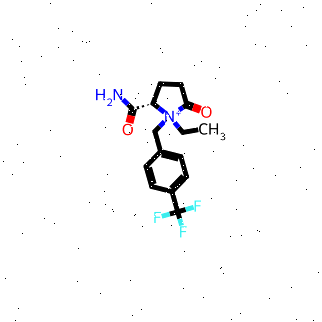 CC[N+]1(Cc2ccc(C(F)(F)F)cc2)C(=O)CC[C@H]1C(N)=O